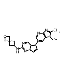 Cc1nc2ncc(-c3ccn4nc(NC5CC6(COC6)C5)ncc34)cc2n1C(C)C